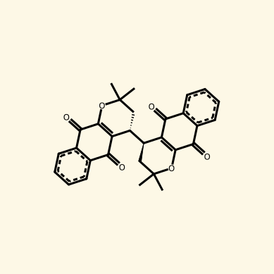 CC1(C)C[C@@H]([C@H]2CC(C)(C)OC3=C2C(=O)c2ccccc2C3=O)C2=C(O1)C(=O)c1ccccc1C2=O